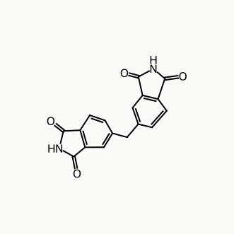 O=C1NC(=O)c2cc(Cc3ccc4c(c3)C(=O)NC4=O)ccc21